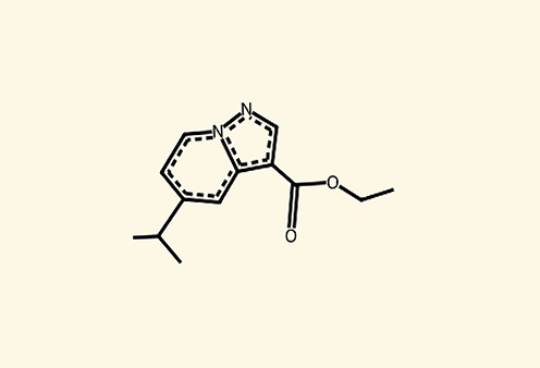 CCOC(=O)c1cnn2ccc(C(C)C)cc12